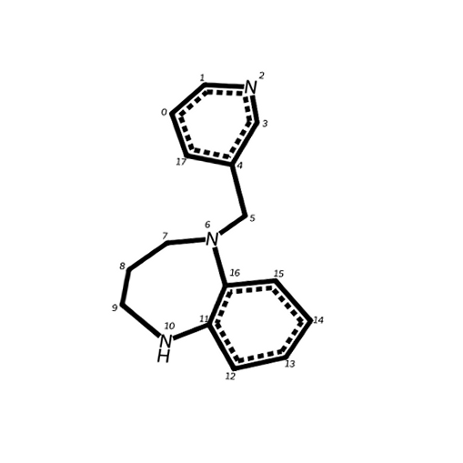 c1cncc(CN2CCCNc3ccccc32)c1